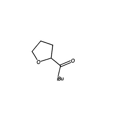 CCC(C)C(=O)C1CCCO1